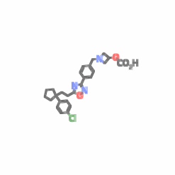 O=C(O)OC1CN(Cc2ccc(-c3noc(CCC4(c5ccc(Cl)cc5)CCCC4)n3)cc2)C1